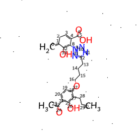 C=C1CC=C(C(=O)O)C(n2nnc(CCCCOc3ccc(C(C)=O)c(O)c3CCC)n2)=C1O